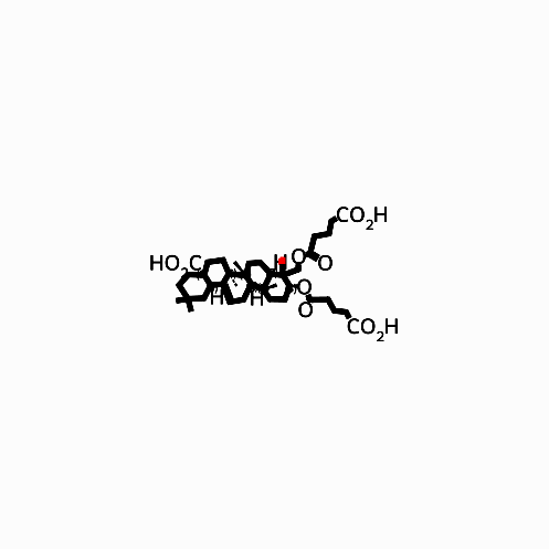 CC1(C)CC[C@]2(C(=O)O)CC[C@]3(C)C(=CC[C@@H]4[C@@]5(C)CC[C@H](OC(=O)CCCC(=O)O)C(C)(COC(=O)CCCC(=O)O)[C@@H]5CC[C@]43C)[C@@H]2C1